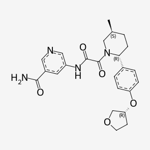 C[C@H]1CC[C@H](c2ccc(O[C@@H]3CCOC3)cc2)N(C(=O)C(=O)Nc2cncc(C(N)=O)c2)C1